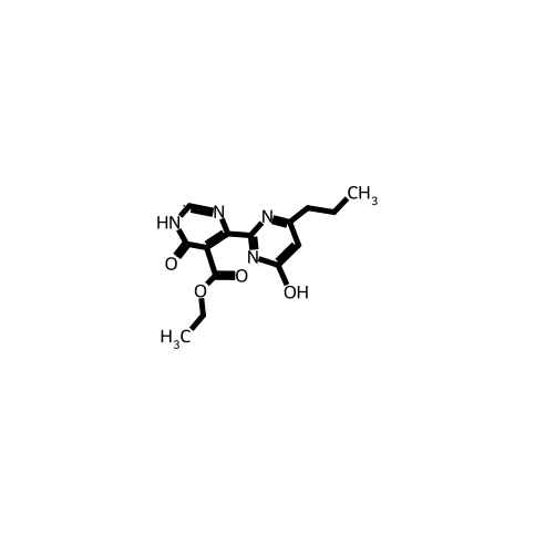 CCCc1cc(O)nc(-c2n[c][nH]c(=O)c2C(=O)OCC)n1